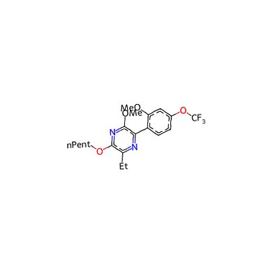 CCCCCOc1nc(OC)c(-c2ccc(OC(F)(F)F)cc2OC)nc1CC